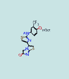 CCCCCCCCOc1ccc(Nc2nc(C3=CSC4=NC(=O)CN34)cs2)cc1C(F)(F)F